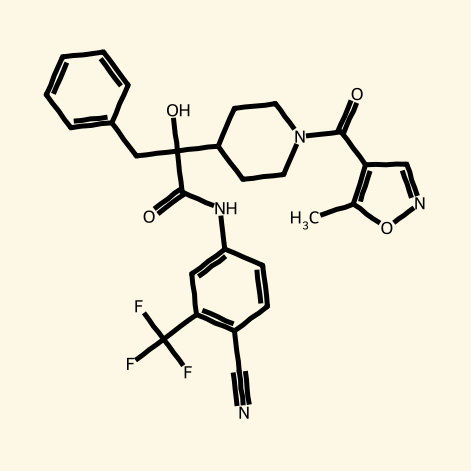 Cc1oncc1C(=O)N1CCC(C(O)(Cc2ccccc2)C(=O)Nc2ccc(C#N)c(C(F)(F)F)c2)CC1